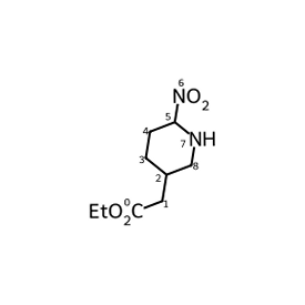 CCOC(=O)CC1CCC([N+](=O)[O-])NC1